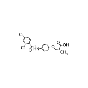 CC(COc1ccc(NCC(=O)c2ccc(Cl)cc2Cl)cc1)C(=O)O